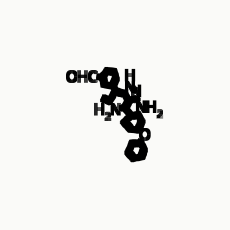 C=C/C(c1cccc(C=O)c1)=c1/[nH]nc(N)/c1=C(/N)c1ccc(Oc2ccccc2)cc1